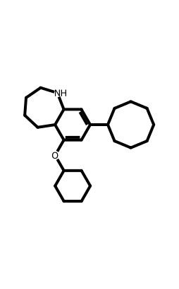 C1=C(C2CCCCCCC2)C=C(OC2CCCCC2)C2CCCCNC12